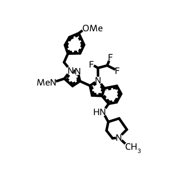 CNc1cc(-c2cc3c(NC4CCN(C)CC4)cccc3n2C(F)C(F)F)nn1Cc1ccc(OC)cc1